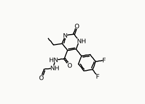 CCc1nc(=O)[nH]c(-c2ccc(F)c(F)c2)c1C(=O)NNC=O